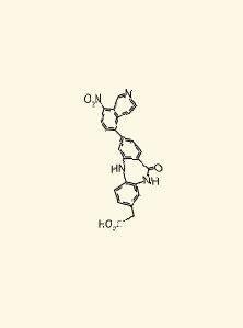 O=C(O)Cc1ccc2c(c1)NC(=O)c1ccc(-c3ccc([N+](=O)[O-])c4cnccc34)cc1N2